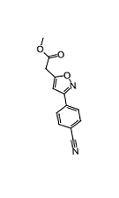 COC(=O)Cc1cc(-c2ccc(C#N)cc2)no1